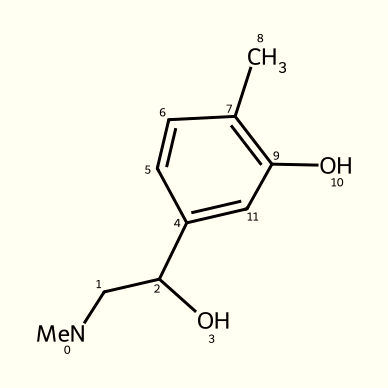 CNCC(O)c1ccc(C)c(O)c1